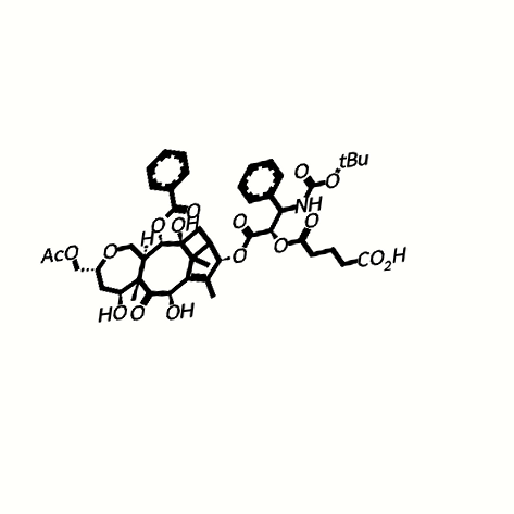 CC(=O)OC[C@H]1C[C@H](O)[C@@]2(C)C(=O)[C@H](O)C3=C(C)[C@@H](OC(=O)[C@H](OC(=O)CCCC(=O)O)C(NC(=O)OC(C)(C)C)c4ccccc4)C4C[C@@](O)([C@@H](OC(=O)c5ccccc5)[C@@H]2CO1)C34C